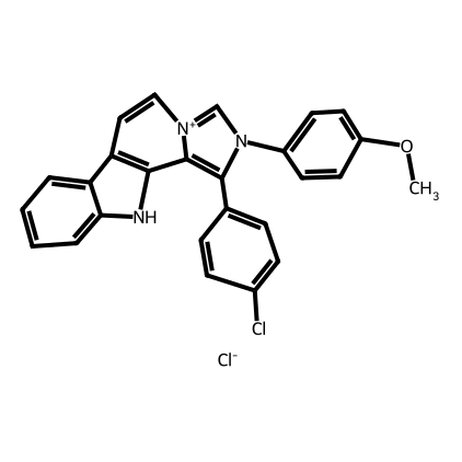 COc1ccc(-n2c[n+]3ccc4c5ccccc5[nH]c4c3c2-c2ccc(Cl)cc2)cc1.[Cl-]